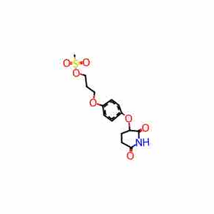 CS(=O)(=O)OCCCOc1ccc(OC2CCC(=O)NC2=O)cc1